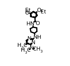 CCOc1cc(OCC)cc(C(=O)NC2CCC(Nc3ncc(C)c(N(C)C)n3)CC2)c1